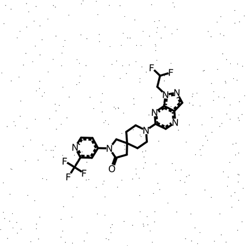 O=C1CC2(CCN(c3cnc4cnn(CC(F)F)c4n3)CC2)CN1c1ccnc(C(F)(F)F)c1